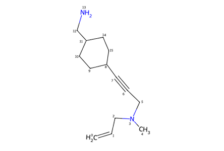 C=CCN(C)CC#CC1CCC(CN)CC1